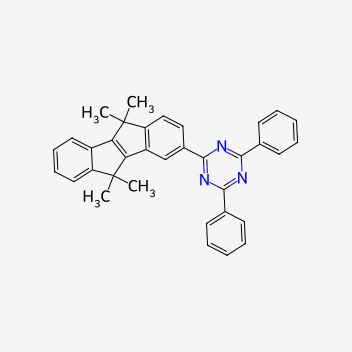 CC1(C)C2=C(c3ccccc31)C(C)(C)c1ccc(-c3nc(-c4ccccc4)nc(-c4ccccc4)n3)cc12